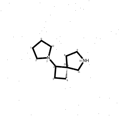 C1CCN(C2CC[C@@]23CCNC3)C1